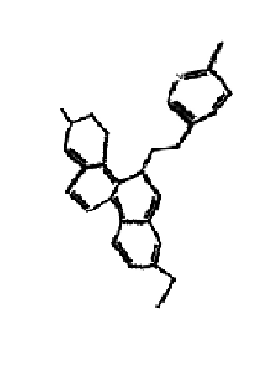 CCc1ccc2c(c1)=CC(CCc1ccc(C)nc1)c1c3c(ccc1=2)=CC(C)CC3